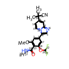 COc1cc(-c2cnc3cc(C(C)(C)C#N)ccn23)cc(OC(F)F)c1C(=O)NC(C)C